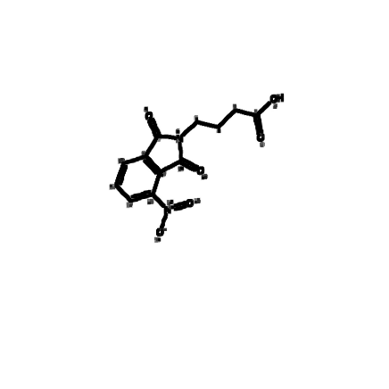 O=C(O)CCCN1C(=O)c2cccc([N+](=O)[O-])c2C1=O